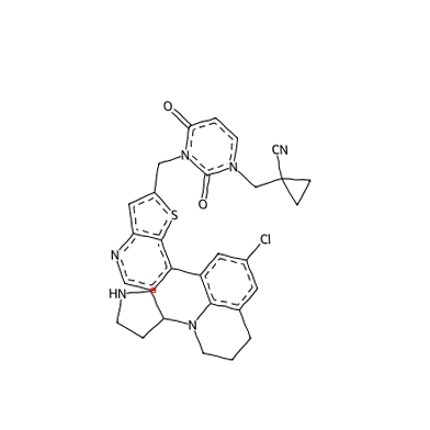 N#CC1(Cn2ccc(=O)n(Cc3cc4nccc(-c5cc(Cl)cc6c5N(C5CCNC5)CCC6)c4s3)c2=O)CC1